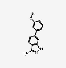 CCOc1cccc(-c2ccc3c(N)n[nH]c3c2)c1